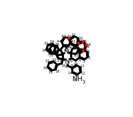 N.c1ccc(CC2N(Cc3ccccc3)C(Cc3ccccc3)(Cc3ccccc3)C(Cc3ccccc3)(Cc3ccccc3)N(Cc3ccccc3)C2(Cc2ccccc2)Cc2ccccc2)cc1